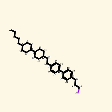 CCCCCC1CCC(C2CCC(CCc3ccc(-c4ccc(CCCI)cc4)cc3)CC2)CC1